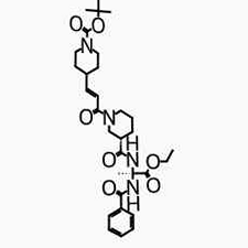 CCOC(=O)[C@@](C)(NC(=O)c1ccccc1)NC(=O)[C@@H]1CCCN(C(=O)/C=C/C2CCN(C(=O)OC(C)(C)C)CC2)C1